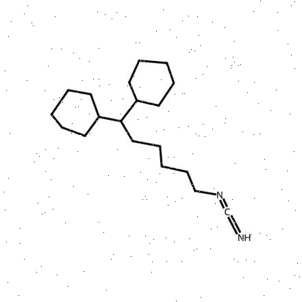 N=C=NCCCCCC(C1CCCCC1)C1CCCCC1